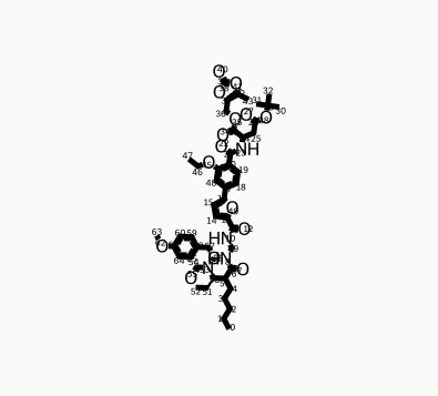 CCCCCC(C(=O)NCNC(=O)c1ccc(-c2ccc(C(=O)NC(CC(=O)OC(C)(C)C)C(=O)OCc3oc(=O)oc3C)c(OCC)c2)o1)[C@@H](CC)N(C=O)OCc1ccc(OC)cc1